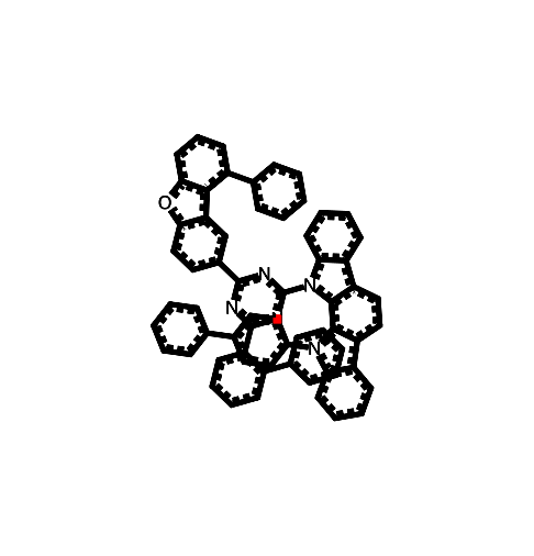 c1ccc(-c2ccc(-n3c4ccccc4c4ccc5c6ccccc6n(-c6nc(-c7ccc8oc9cccc(-c%10ccccc%10)c9c8c7)nc(-c7ccccc7-c7ccccc7)n6)c5c43)cc2)cc1